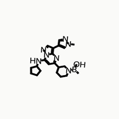 CB(O)N1CCCC(c2cc(NC3CCCC3)n3ncc(-c4cnn(C)c4)c3n2)C1